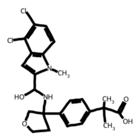 Cn1c(C(O)NC2(c3ccc(C(C)(C)C(=O)O)cc3)CCOC2)cc2c(Cl)c(Cl)ccc21